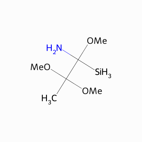 COC(N)([SiH3])C(C)(OC)OC